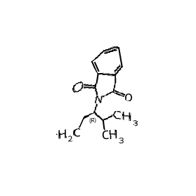 [CH2]C[C@H](C(C)C)N1C(=O)c2ccccc2C1=O